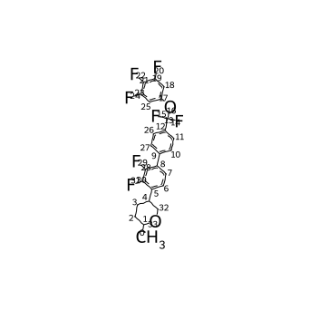 CC1CCC(c2ccc(-c3ccc(C(F)(F)Oc4cc(F)c(F)c(F)c4)cc3)c(F)c2F)CO1